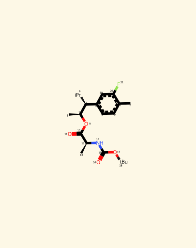 Cc1ccc([C@H](C(C)C)[C@H](C)OC(=O)[C@H](C)NC(=O)OC(C)(C)C)cc1F